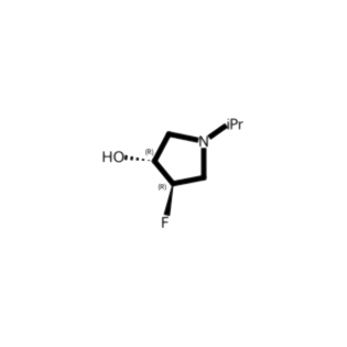 CC(C)N1C[C@@H](O)[C@H](F)C1